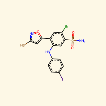 NS(=O)(=O)c1cc(Nc2ccc(I)cc2)c(-c2cc(S)no2)cc1Br